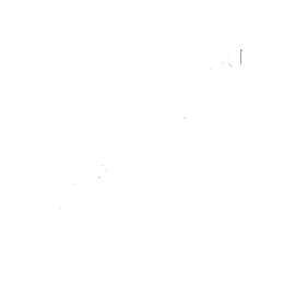 ClCCCCCCCCOc1ccccc1